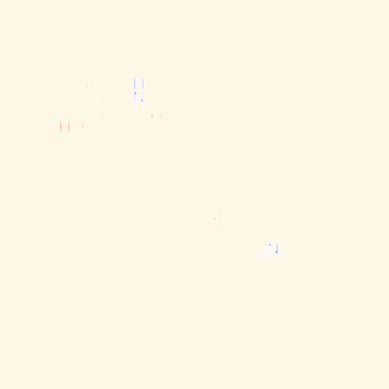 O=C(O)C1(C(c2ccc(OCc3ccc4ccccc4n3)cc2)C2CCCCC2)NO1